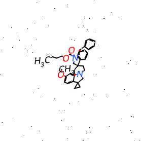 CCCCOC(=O)N(CCc1ccccc1)CC1(c2ccccc2)CCN(CC2(c3ccc(OC)cc3)CC2)CC1